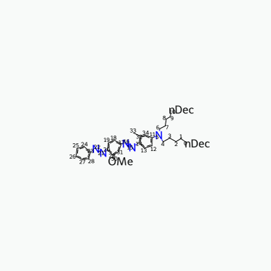 CCCCCCCCCCCCCCN(CCCCCCCCCCCCCC)c1ccc(N=Nc2ccc(N=Nc3ccccc3)c(OC)c2)c(C)c1